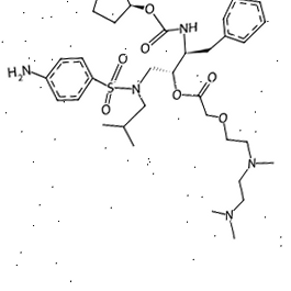 CC(C)CN(C[C@@H](OC(=O)COCCN(C)CCN(C)C)[C@H](Cc1ccccc1)NC(=O)O[C@H]1CCOC1)S(=O)(=O)c1ccc(N)cc1